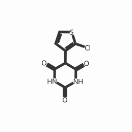 O=C1NC(=O)C(c2ccsc2Cl)C(=O)N1